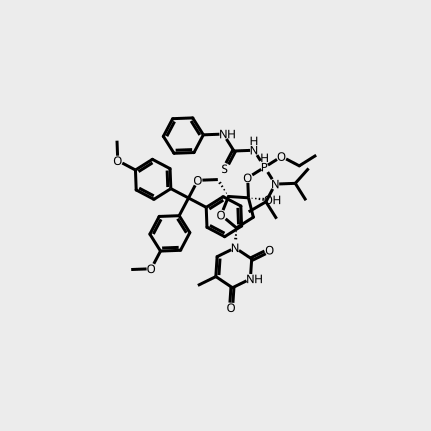 CCO[PH](NC(=S)Nc1ccccc1)(O[C@@]1(O)C[C@H](n2cc(C)c(=O)[nH]c2=O)O[C@@H]1COC(c1ccccc1)(c1ccc(OC)cc1)c1ccc(OC)cc1)N(C(C)C)C(C)C